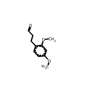 COc1ccc(CC[C]=O)c(OC)c1